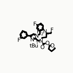 CC(C)(C)[C@H](c1nc(-c2cccc(F)c2)cn1Cc1cccc(F)c1)N(CC[C@H](N)CF)C(=O)O[C@H]1CCCO1